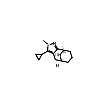 Cn1nc2c(c1C1CC1)C[C@@H]1CCC[C@H]2N1